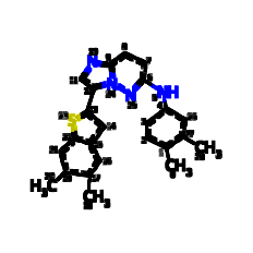 Cc1ccc(Nc2ccc3ncc(-c4cc5cc(C)c(C)cc5s4)n3n2)cc1C